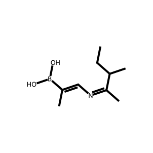 CCC(C)/C(C)=N\C=C(/C)B(O)O